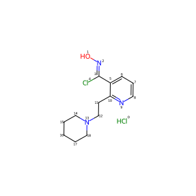 Cl.ON=C(Cl)c1cccnc1CCN1CCCCC1